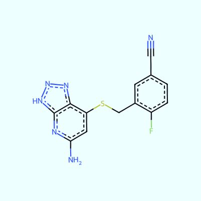 N#Cc1ccc(F)c(CSc2cc(N)nc3[nH]nnc23)c1